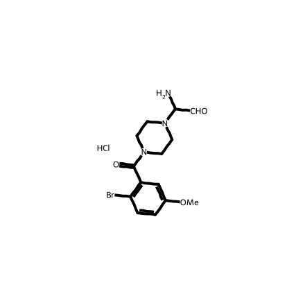 COc1ccc(Br)c(C(=O)N2CCN(C(N)C=O)CC2)c1.Cl